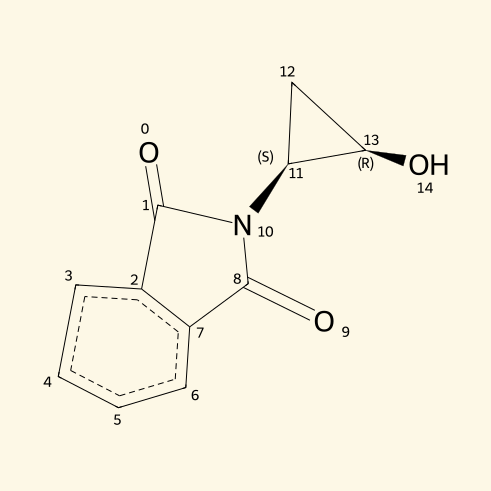 O=C1c2ccccc2C(=O)N1[C@H]1C[C@H]1O